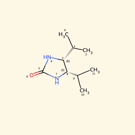 CC(C)[C@H]1NC(=O)N[C@H]1C(C)C